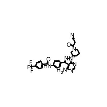 N#CCC(=O)N1CCC[C@@H](n2nc(-c3ccc(NC(=O)c4ccc(C(F)(F)F)cc4)cc3)c3c(N)ncnc32)C1